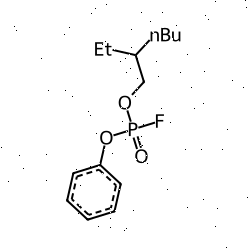 CCCCC(CC)COP(=O)(F)Oc1ccccc1